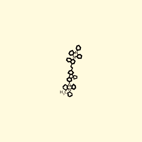 CC1CC=CC2=C1N(C1C=CC=CC1)c1ccccc1N2c1ccc2c(c1)C1(CCCC1)c1cc(/C=C/c3ccc(N4c5ccccc5N(c5ccccc5)c5ccccc54)c4ccccc34)ccc1-2